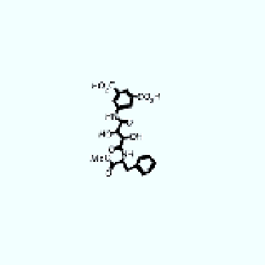 COC(=O)C(Cc1ccccc1)NC(=O)C(O)C(O)C(=O)Nc1cc(C(=O)O)cc(C(=O)O)c1